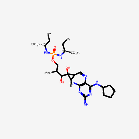 CCOC(=O)[C@H](CC(C)C)NP(=O)(N[C@@H](CC(C)C)C(=O)OCC)OCC(OC)C(O)C1(O)C(C)C1/C=N\c1c(N)nc(N)nc1NC1CCCC1